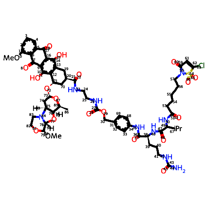 COc1cccc2c1C(=O)c1c(O)c3c(c(O)c1C2=O)C[C@@H](C(=O)NCCNC(=O)OCc1ccc(NC(=O)[C@H](CCCNC(N)=O)NC(=O)C(NC(=O)CCCCCN2C(=O)C=C(Cl)S2(=O)=O)C(C)C)cc1)C[C@@H]3O[C@H]1C[C@H]2[C@H](O[C@@H]3[C@@H](OC)OCCN32)[C@H](C)O1